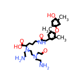 Cc1cc(Oc2c(C)cc(CC(=O)NCCCC(C(=O)O)N(CCN)CCN(CC=O)CCN)cc2C)ccc1O